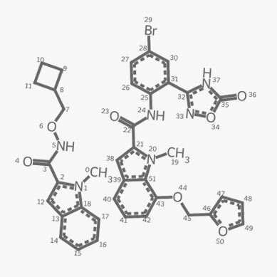 Cn1c(C(=O)NOCC2CCC2)cc2ccccc21.Cn1c(C(=O)Nc2ccc(Br)cc2-c2noc(=O)[nH]2)cc2cccc(OCc3ccco3)c21